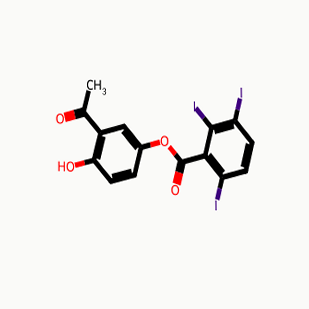 CC(=O)c1cc(OC(=O)c2c(I)ccc(I)c2I)ccc1O